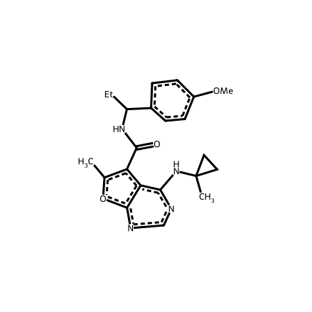 CCC(NC(=O)c1c(C)oc2ncnc(NC3(C)CC3)c12)c1ccc(OC)cc1